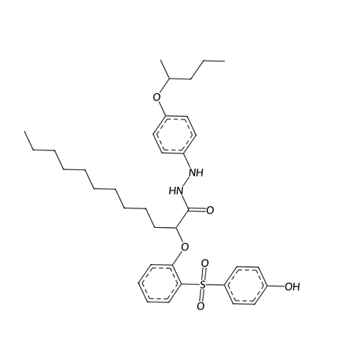 CCCCCCCCCCC(Oc1ccccc1S(=O)(=O)c1ccc(O)cc1)C(=O)NNc1ccc(OC(C)CCC)cc1